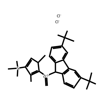 [CH2]=[Zr+2]([C]1=C(C)C([Si](C)(C)C)=CC1C)[CH]1c2ccc(C(C)(C)C)cc2-c2cc(C(C)(C)C)ccc21.[Cl-].[Cl-]